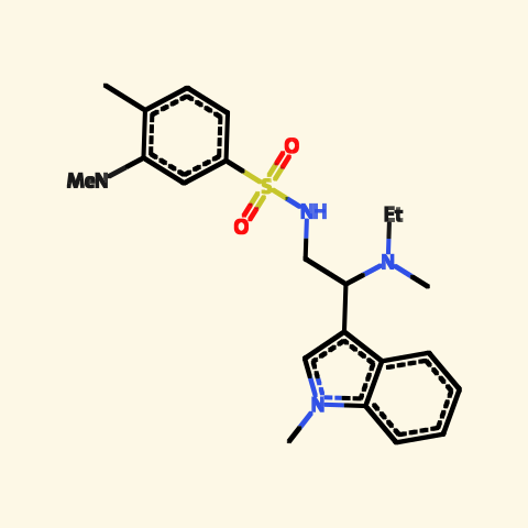 CCN(C)C(CNS(=O)(=O)c1ccc(C)c(NC)c1)c1cn(C)c2ccccc12